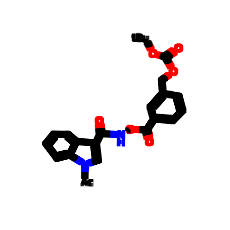 CC(=O)n1cc(C(=O)NOC(=O)c2cccc(COC(=O)OC(C)(C)C)c2)c2ccccc21